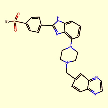 CCS(=O)(=O)c1ccc(-c2nc3c(N4CCN(Cc5ccc6nccnc6c5)CC4)cccc3[nH]2)cc1